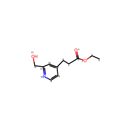 CCOC(=O)CCc1ccnc(CO)c1